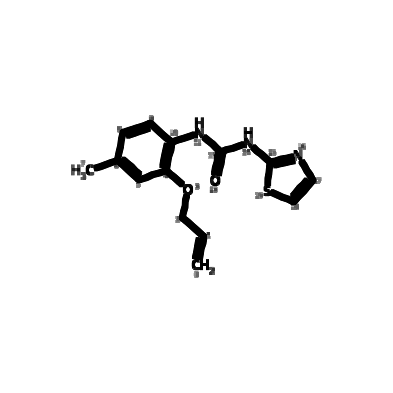 C=CCOc1cc(C)ccc1NC(=O)Nc1nccs1